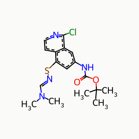 CN(C)/C=N/Sc1cc(NC(=O)OC(C)(C)C)cc2c(Cl)nccc12